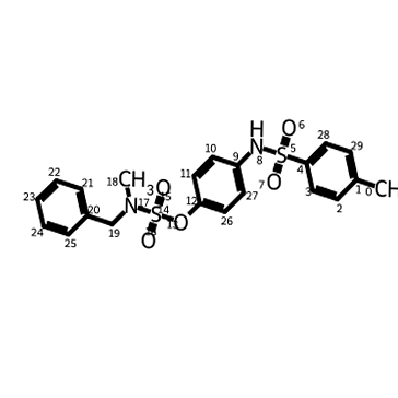 Cc1ccc(S(=O)(=O)Nc2ccc(OS(=O)(=O)N(C)Cc3ccccc3)cc2)cc1